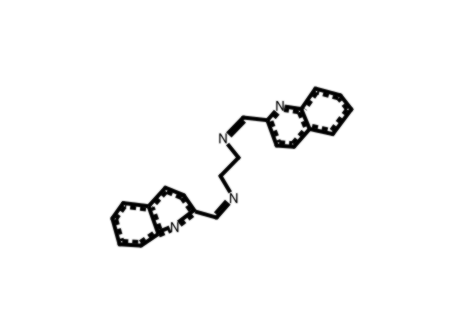 C(=N/CC/N=C\c1ccc2ccccc2n1)/c1ccc2ccccc2n1